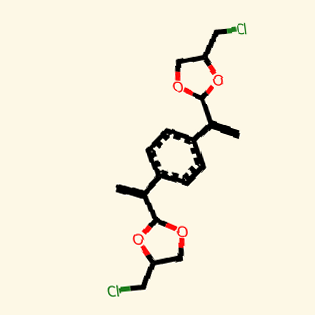 C=C(c1ccc(C(=C)C2OCC(CCl)O2)cc1)C1OCC(CCl)O1